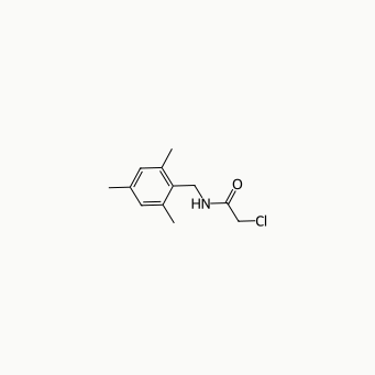 Cc1cc(C)c(CNC(=O)CCl)c(C)c1